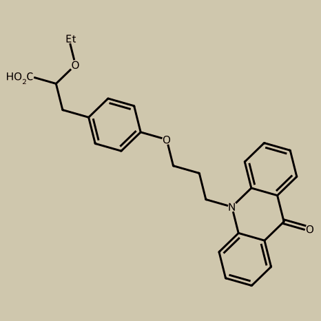 CCOC(Cc1ccc(OCCCn2c3ccccc3c(=O)c3ccccc32)cc1)C(=O)O